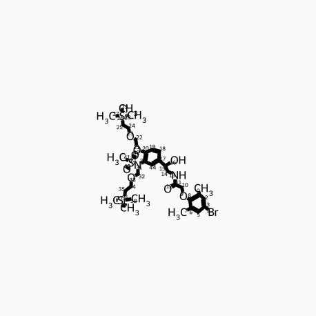 Cc1cc(Br)cc(C)c1OCC(=O)NCC(O)c1ccc(OCOCC[Si](C)(C)C)c(N(COCC[Si](C)(C)C)S(C)(=O)=O)c1